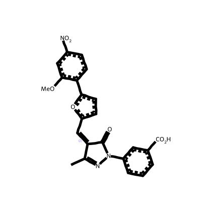 COc1cc([N+](=O)[O-])ccc1-c1ccc(/C=C2\C(=O)N(c3cccc(C(=O)O)c3)N=C2C)o1